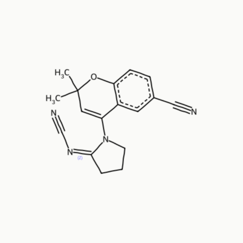 CC1(C)C=C(N2CCC/C2=N/C#N)c2cc(C#N)ccc2O1